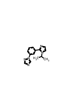 CC(C)n1ccnc1-c1cccc(-n2cncn2)c1